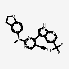 CN(c1ccc2c(c1)CCO2)c1ncc(C#N)c(-c2c[nH]c3ncc(C(F)(F)F)cc23)n1